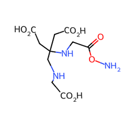 NOC(=O)CNC(CNCC(=O)O)(CC(=O)O)CC(=O)O